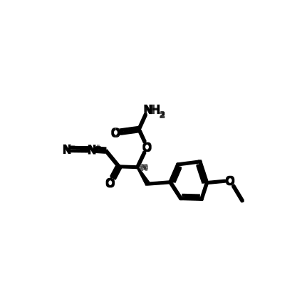 COc1ccc(C[C@H](OC(N)=O)C(=O)C=[N+]=[N-])cc1